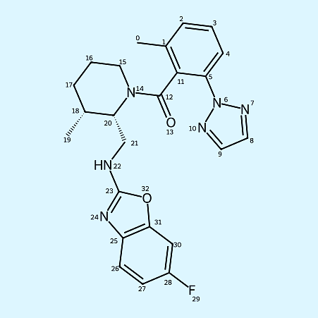 Cc1cccc(-n2nccn2)c1C(=O)N1CCC[C@@H](C)[C@H]1CNc1nc2ccc(F)cc2o1